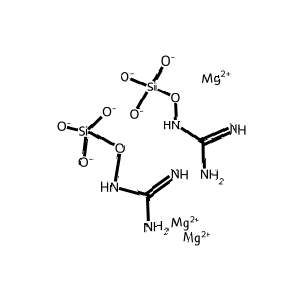 N=C(N)NO[Si]([O-])([O-])[O-].N=C(N)NO[Si]([O-])([O-])[O-].[Mg+2].[Mg+2].[Mg+2]